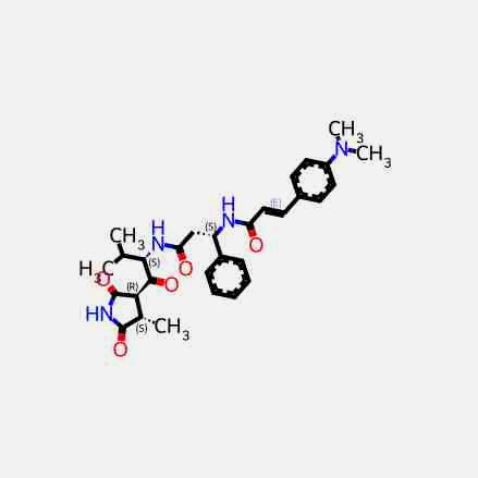 CC(C)[C@H](NC(=O)C[C@H](NC(=O)/C=C/c1ccc(N(C)C)cc1)c1ccccc1)C(=O)[C@@H]1C(=O)NC(=O)[C@H]1C